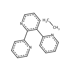 CC.c1ccc(-c2cccnc2-c2ccccn2)nc1